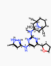 Cc1cc(Nc2cc(C3CCCO3)nc(N(C)C3C[C@H]4CCC[C@@H](C3)N4C(=O)O)n2)n[nH]1